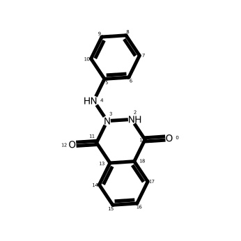 O=c1[nH]n(Nc2ccccc2)c(=O)c2ccccc12